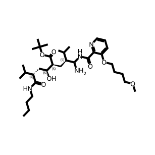 CCCCNC(=O)[C@@H](C[C@H](O)[C@H](C[C@@H](C(C)C)C(N)NC(=O)c1ncccc1OCCCCOC)C(=O)OC(C)(C)C)C(C)C